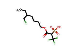 CCC(CCl)CCCCOC(=O)C(C(F)(F)F)S(=O)(=O)O